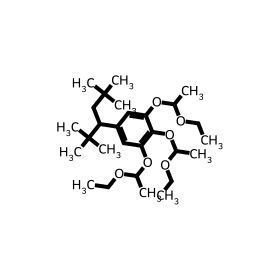 CCOC(C)Oc1cc(C(CC(C)(C)C)C(C)(C)C)cc(OC(C)OCC)c1OC(C)OCC